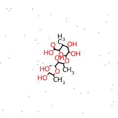 CC(CO)O[C@H](CO)C(O)C(C)OC1OC(C(=O)O)C(C)C(O)C1O